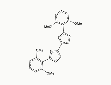 COc1cccc(OC)c1-c1ccc(-c2ccc(-c3c(OC)cccc3OC)s2)s1